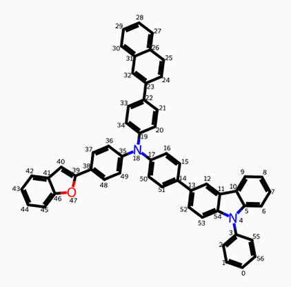 c1ccc(-n2c3ccccc3c3cc(-c4ccc(N(c5ccc(-c6ccc7ccccc7c6)cc5)c5ccc(-c6cc7ccccc7o6)cc5)cc4)ccc32)cc1